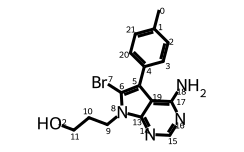 Cc1ccc(-c2c(Br)n(CCCO)c3ncnc(N)c23)cc1